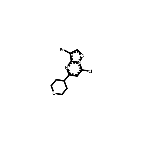 Clc1cc(C2CCOCC2)nc2c(Br)cnn12